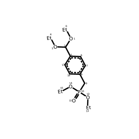 CCOC(OCC)c1ccc(CP(=O)(OCC)OCC)cc1